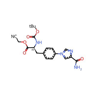 CC(C)(C)OC(=O)N[C@@H](Cc1ccc(-n2cnc(C(N)=O)c2)cc1)C(=O)OCC#N